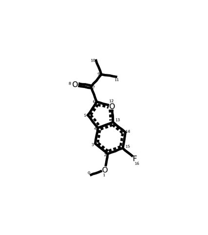 COc1cc2cc(C(=O)C(C)C)oc2cc1F